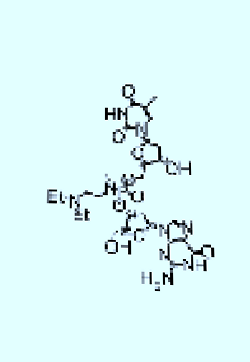 CCN(CC)CCN(C)P(=O)(OC[C@H]1O[C@@H](n2cc(C)c(=O)[nH]c2=O)C[C@H]1O)O[C@@H]1C[C@H](n2cnc3c(=O)[nH]c(N)nc32)O[C@@H]1CO